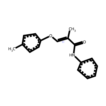 C/C(=C\Oc1ccc(C)cc1)C(=O)Nc1ccccc1